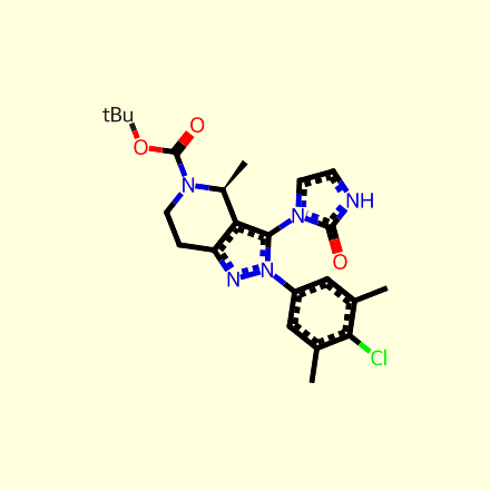 Cc1cc(-n2nc3c(c2-n2cc[nH]c2=O)[C@H](C)N(C(=O)OC(C)(C)C)CC3)cc(C)c1Cl